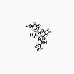 CN(C(=O)c1cnc(N[C@@H]2CCOC2)nc1C1CCCC1)C1C2CC3CC1CC(O)(C3)C2